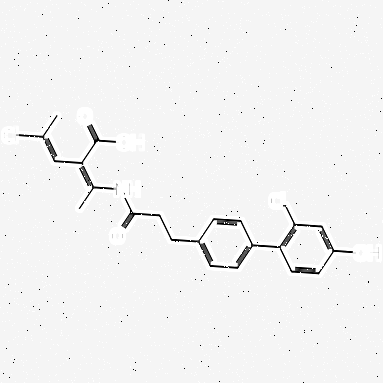 C/C(NC(=O)CCc1ccc(-c2ccc(O)cc2Cl)cc1)=C(\C=C(/C)Cl)C(=O)O